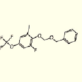 Fc1cc(OC(F)(F)F)cc(I)c1OCOCc1ccccc1